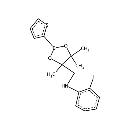 CC1(C)OB(c2cccs2)OC1(C)CNc1ccccc1I